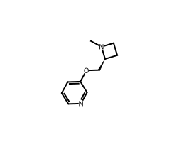 CN1CC[C@H]1COc1cccnc1